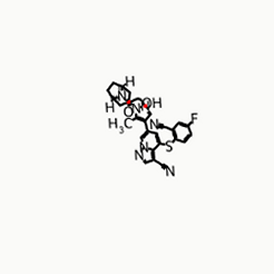 Cc1c(-c2cc(Sc3ccc(F)cc3C#N)c3c(C#N)cnn3c2)cnn1C1C[C@H]2CC[C@@H](C1)N2C(=O)CO